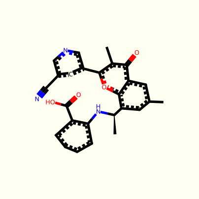 Cc1cc([C@@H](C)Nc2ccccc2C(=O)O)c2oc(-c3cncc(C#N)c3)c(C)c(=O)c2c1